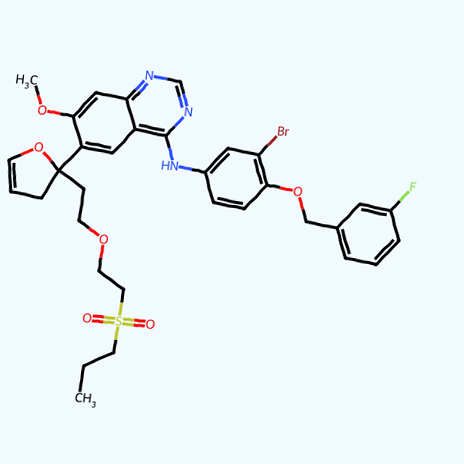 CCCS(=O)(=O)CCOCCC1(c2cc3c(Nc4ccc(OCc5cccc(F)c5)c(Br)c4)ncnc3cc2OC)CC=CO1